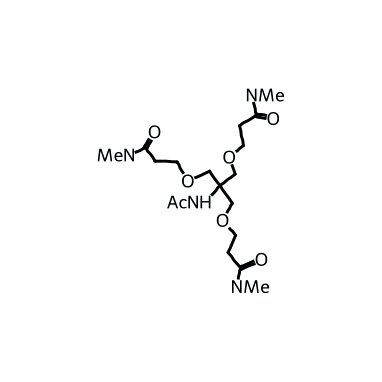 CNC(=O)CCOCC(COCCC(=O)NC)(COCCC(=O)NC)NC(C)=O